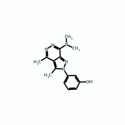 Cc1nnc(N(C)C)c2nn(-c3cccc(O)c3)c(C)c12